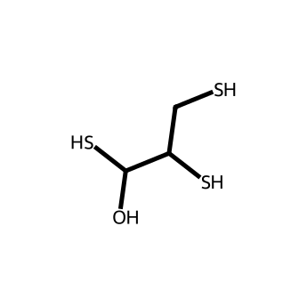 OC(S)C(S)CS